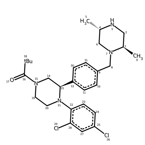 C[C@@H]1CN[C@@H](C)CN1Cc1ccc([C@@H]2CN(C(=O)C(C)(C)C)CCN2c2ccc(Cl)cc2Cl)cc1